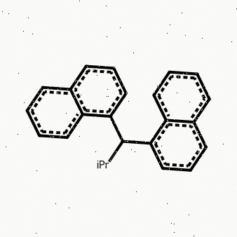 CC(C)C(c1cccc2ccccc12)c1cccc2ccccc12